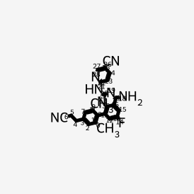 Cc1cc(CCC#N)cc(C)c1-c1cc(F)cc2c(N)nc(Nc3ccc(C#N)cn3)nc12